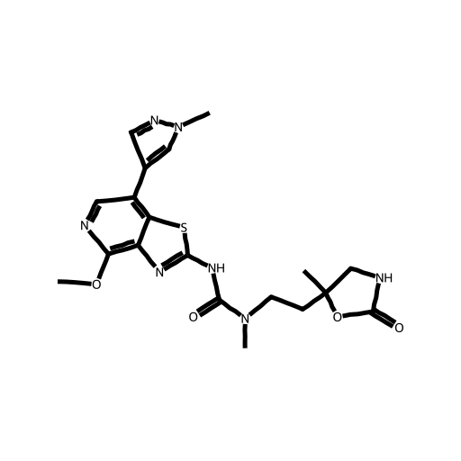 COc1ncc(-c2cnn(C)c2)c2sc(NC(=O)N(C)CCC3(C)CNC(=O)O3)nc12